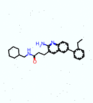 CCc1ccccc1-c1ccc2nc(N)c(CCC(=O)NCC3CCCCC3)cc2c1